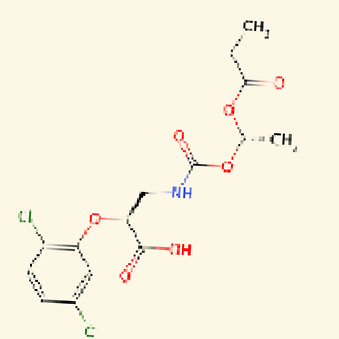 CCC(=O)O[C@H](C)OC(=O)NC[C@H](Oc1cc(Cl)ccc1Cl)C(=O)O